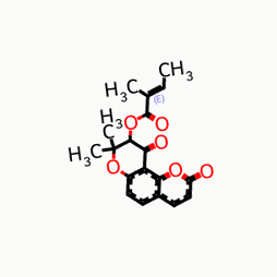 C/C=C(\C)C(=O)OC1C(=O)c2c(ccc3ccc(=O)oc23)OC1(C)C